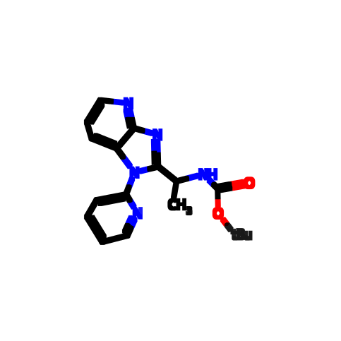 CC(NC(=O)OC(C)(C)C)c1nc2ncccc2n1-c1ccccn1